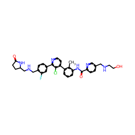 Cc1c(NC(=O)c2ccc(CNCCO)cn2)cccc1-c1ccnc(-c2ccc(CNCC3CCC(=O)N3)c(F)c2)c1Cl